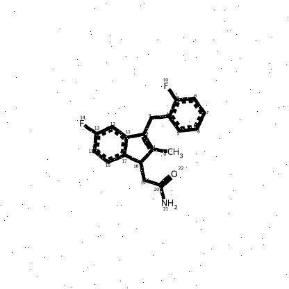 CC1=C(Cc2ccccc2F)c2cc(F)ccc2C1CC(N)=O